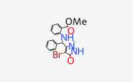 COC(=O)c1ccccc1NC(c1ccccc1)c1c(Br)c(=O)[nH]n1C